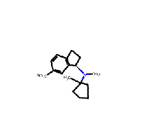 CC1(N(C=O)[C@@H]2CCc3ccc(C(=O)O)cc32)CCCC1